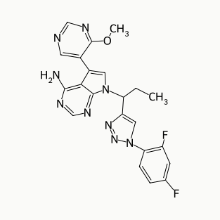 CCC(c1cn(-c2ccc(F)cc2F)nn1)n1cc(-c2cncnc2OC)c2c(N)ncnc21